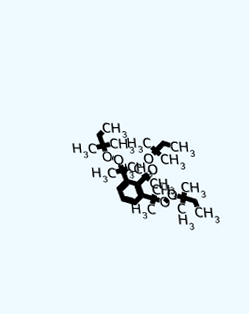 CCC(C)(C)OOC(C)(C)c1cccc(C(C)(C)OOC(C)(C)CC)c1C(C)(C)OOC(C)(C)CC